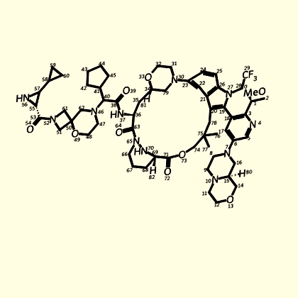 CO[C@@H](C)c1ncc(N2CCN3CCOC[C@@H]3C2)cc1-c1c2c3cc(ccc3n1CC(F)(F)F)N1CCO[C@@H](C[C@H](NC(=O)C(C3CCCC3)N3CCOC4(CN(C(=O)[C@@H]5NC5C5CC5)C4)C3)C(=O)N3CCC[C@H](N3)C(=O)OCC(C)(C)C2)C1